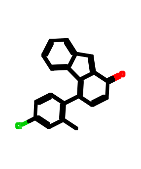 Cc1cc(Cl)ccc1C1=C2C(=Cc3ccccc32)C(=O)C=C1